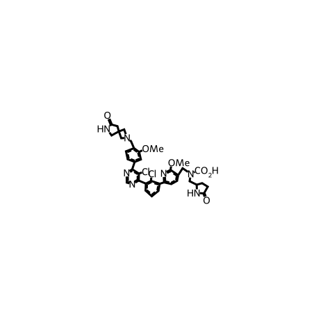 COc1cc(-c2ncnc(-c3cccc(-c4ccc(CN(CC5CCC(=O)N5)C(=O)O)c(OC)n4)c3Cl)c2Cl)ccc1CN1CC2(CNC(=O)C2)C1